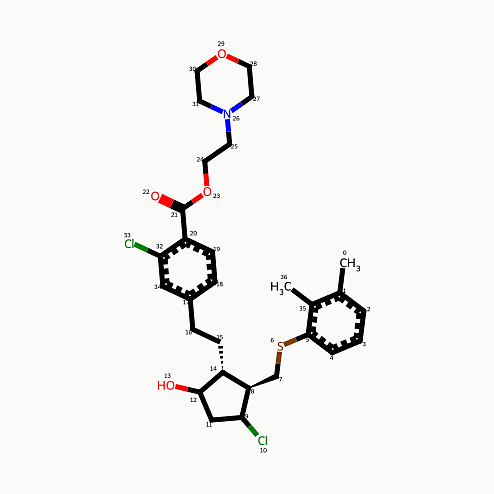 Cc1cccc(SC[C@H]2C(Cl)CC(O)[C@@H]2CCc2ccc(C(=O)OCCN3CCOCC3)c(Cl)c2)c1C